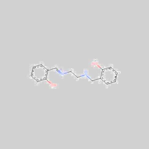 Oc1ccccc1/C=N/CCNCc1ccccc1O